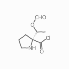 CC(OC=O)[C@@]1(C(=O)Cl)CCCN1